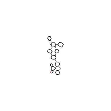 c1ccc(-c2cc(-c3ccccc3)nc(-c3cccc(-c4ccc(-c5ccc6c(c5)C5(c7ccccc7S6)c6ccccc6-c6ccccc65)cc4-c4ccccc4)c3)n2)cc1